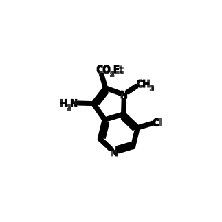 CCOC(=O)c1c(N)c2cncc(Cl)c2n1C